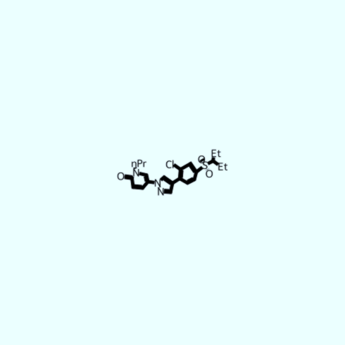 CCCn1cc(-n2cc(-c3ccc(S(=O)(=O)C(CC)CC)cc3Cl)cn2)ccc1=O